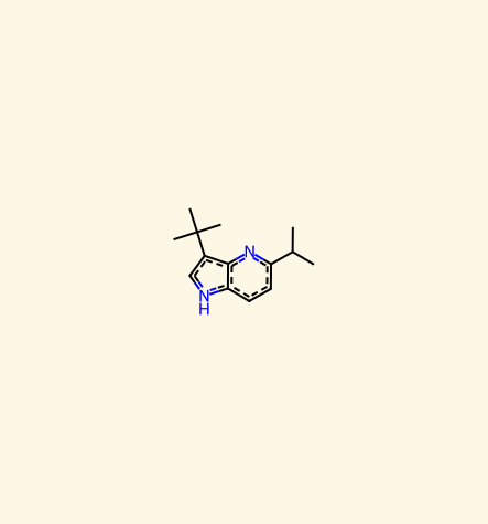 CC(C)c1ccc2[nH]cc(C(C)(C)C)c2n1